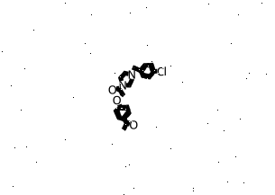 CC(=O)c1ccc(OCC(=O)N2CCN(Cc3ccc(Cl)cc3)CC2)cc1